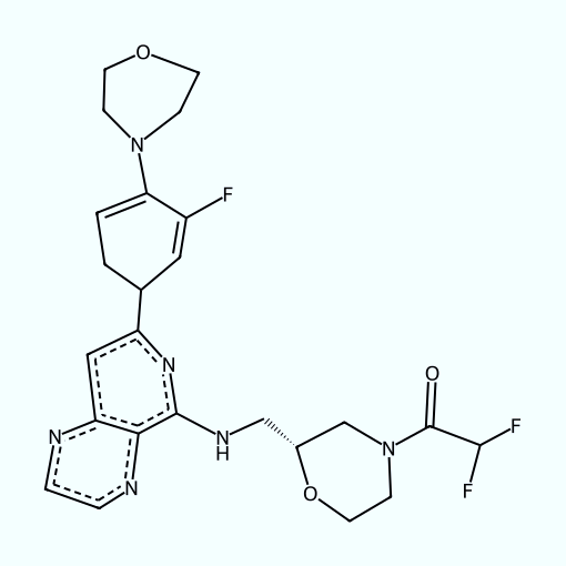 O=C(C(F)F)N1CCO[C@H](CNc2nc(C3C=C(F)C(N4CCOCC4)=CC3)cc3nccnc23)C1